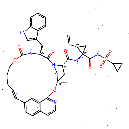 C=C[C@@H]1C[C@]1(NC(=O)[C@@H]1C[C@]2(C)CN1C(=O)[C@H](Cc1c[nH]c3ccccc13)NC(=O)OCCC/C=C/c1ccc3ccnc(c3c1)O2)C(=O)NS(=O)(=O)C1CC1